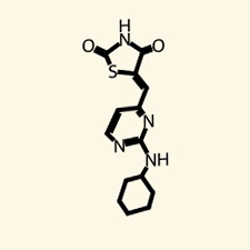 O=C1NC(=O)/C(=C/c2ccnc(NC3CCCCC3)n2)S1